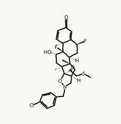 CSCC(=O)[C@@]12ON(Cc3ccc(Cl)cc3)C[C@@H]1C[C@@]1(C)[C@@H]3C[C@H](F)C4=CC(=O)C=C[C@]4(C)[C@@]3(F)[C@@H](O)C[C@@]12C